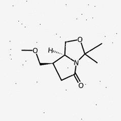 COC[C@@H]1CC(=O)N2[C@@H]1COC2(C)C